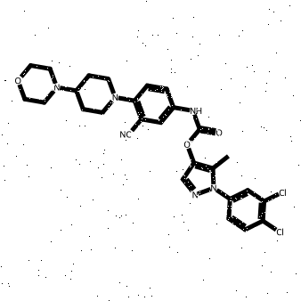 Cc1c(OC(=O)Nc2ccc(N3CCC(N4CCOCC4)CC3)c(C#N)c2)cnn1-c1ccc(Cl)c(Cl)c1